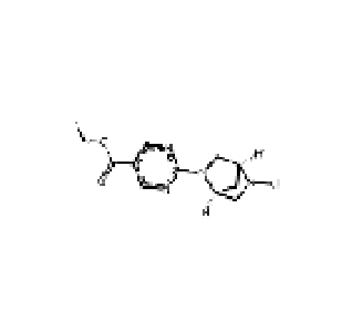 CCOC(=O)c1cnc(N2C[C@@H]3C[C@H]2CN3Cl)nc1